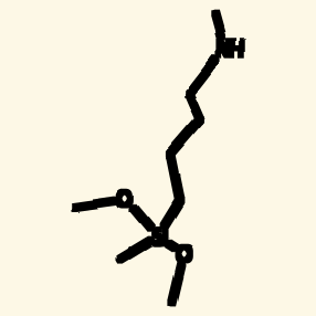 CNCCCC[Si](C)(OC)OC